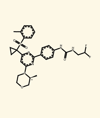 Cc1ccccc1S(=O)(=O)C1(c2cc(N3CCOC[C@@H]3C)nc(-c3ccc(NC(=O)NCC(F)F)cc3)n2)CC1